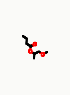 CCCC(=O)OC(C)COC